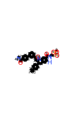 COS(=O)(=O)CCNC(=O)c1ccc(CC(c2ccc(C(C)(C)C)cc2)c2cc(-c3cccc(-c4ccc(C(=O)N(C)C)cc4)c3)on2)cc1